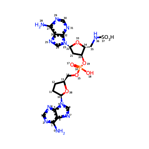 Nc1ncnc2c1ncn2[C@H]1CC[C@@H](COP(=O)(O)O[C@H]2C[C@H](n3cnc4c(N)ncnc43)O[C@@H]2CNS(=O)(=O)O)O1